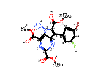 CC(C)(C)OC(=O)c1nc(C(=O)OC(C)(C)C)c2c(n1)c(-c1cc(F)cc(Br)c1)c(C(=O)OC(C)(C)C)n2N